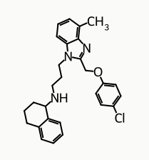 Cc1cccc2c1nc(COc1ccc(Cl)cc1)n2CCCNC1CCCc2ccccc21